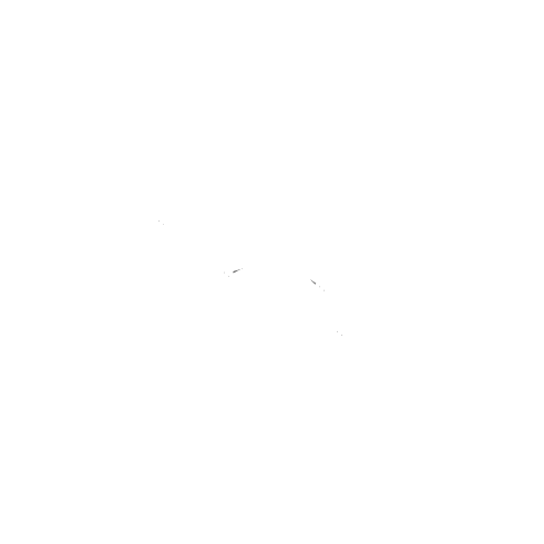 CC1(O)CN(C(=O)N[C@@H]2CCC[C@H](Nc3cc(C(F)(F)F)nc4ccc(Cl)cc34)C2)C1